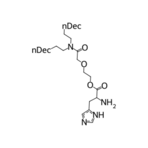 CCCCCCCCCCCCN(CCCCCCCCCCCC)C(=O)COCCOC(=O)C(N)Cc1cnc[nH]1